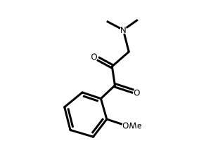 COc1ccccc1C(=O)C(=O)CN(C)C